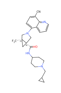 N#Cc1ccc(N2C[C@@]3(C(=O)NC4CCN(CC5CC5)CC4)C[C@@]3(C(F)(F)F)C2)c2cccnc12